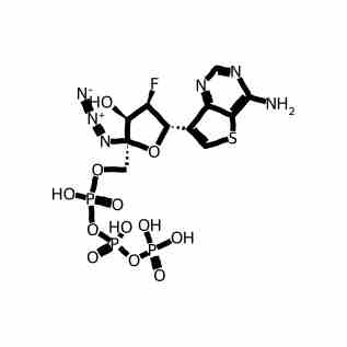 [N-]=[N+]=N[C@]1(COP(=O)(O)OP(=O)(O)OP(=O)(O)O)O[C@@H](c2csc3c(N)ncnc23)[C@H](F)[C@@H]1O